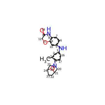 Cc1cc(Nc2ccc3c(c2)OCC(=O)N3)ccc1N1CC2CCC(C1)O2